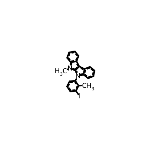 Cc1c(I)cccc1-n1c2ccccc2c2c3ccccc3n(C)c21